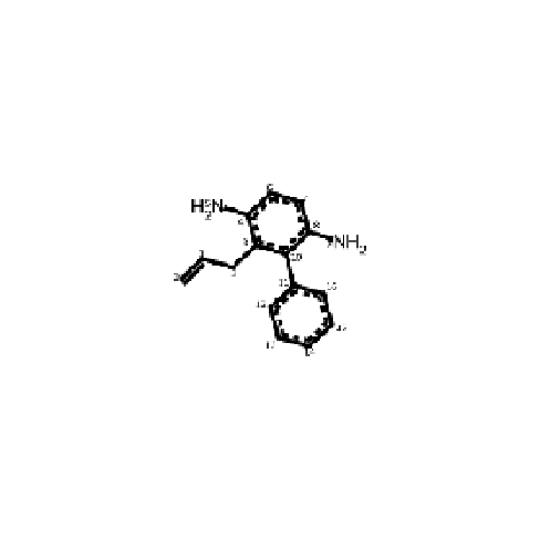 C=CCc1c(N)ccc(N)c1-c1ccccc1